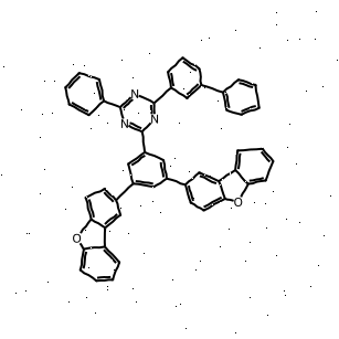 c1ccc(-c2cccc(-c3nc(-c4ccccc4)nc(-c4cc(-c5ccc6oc7ccccc7c6c5)cc(-c5ccc6oc7ccccc7c6c5)c4)n3)c2)cc1